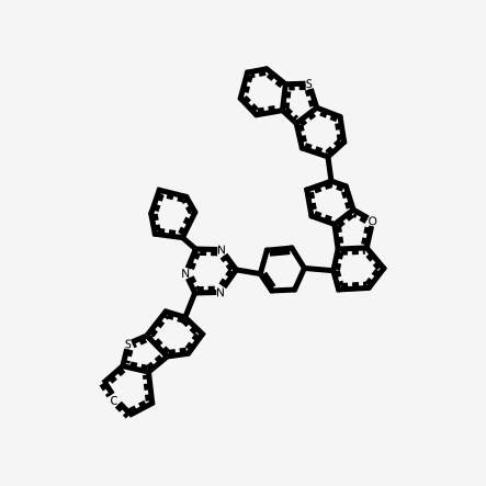 C1=CC(c2cccc3oc4cc(-c5ccc6sc7ccccc7c6c5)ccc4c23)CC=C1c1nc(-c2ccccc2)nc(-c2ccc3c(c2)sc2ccccc23)n1